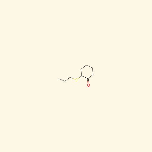 CCCSC1CCCCC1=O